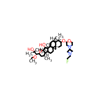 CCO[C@@H](C1C[C@@H](C)[C@H]2C(O1)[C@H](O)[C@@]1(C)C3CC[C@H]4C(C)(C)[C@@H](O[C@H]5CN(C6CN(CCF)C6)CCO5)CC[C@@]45C[C@@]35CC[C@]21C)C(C)(C)O